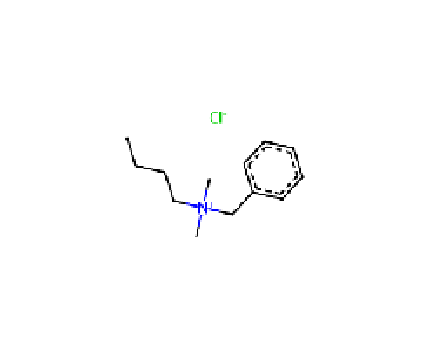 CCCC[N+](C)(C)Cc1ccccc1.[Cl-]